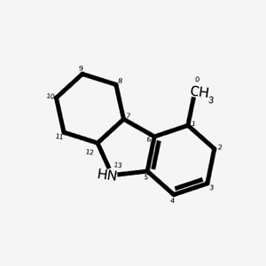 CC1CC=CC2=C1C1CCCCC1N2